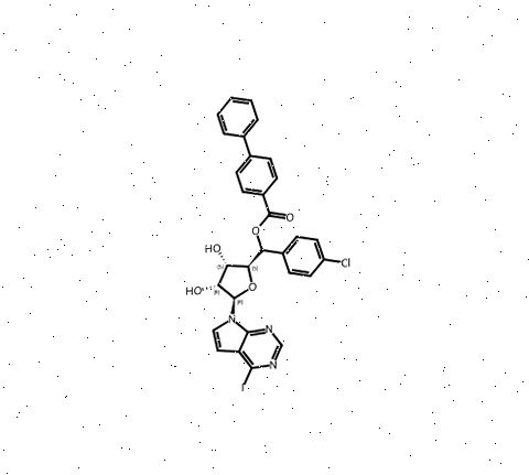 O=C(OC(c1ccc(Cl)cc1)[C@H]1O[C@@H](n2ccc3c(I)ncnc32)[C@H](O)[C@@H]1O)c1ccc(-c2ccccc2)cc1